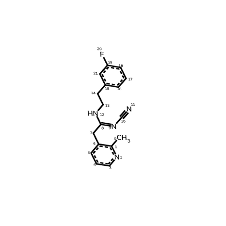 Cc1ncccc1CC(=NC#N)NCCc1cccc(F)c1